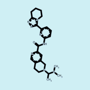 CC(N(C)C)N1CCc2cnc(C(=O)Nc3cccc(-c4nnc5n4CCCC5)n3)cc2C1